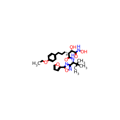 CCOc1ccc(CCC[C@@H](C(=O)N[C@H](c2noc(-c3ccco3)n2)C(C)(C)C)[C@H](O)C(=O)NO)cc1